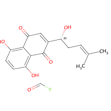 CC(C)=CC[C@@H](O)C1=CC(=O)c2c(O)ccc(O)c2C1=O.O=CF